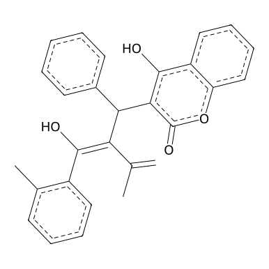 C=C(C)/C(=C(/O)c1ccccc1C)C(c1ccccc1)c1c(O)c2ccccc2oc1=O